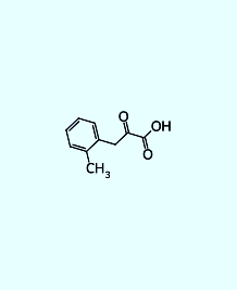 Cc1ccccc1CC(=O)C(=O)O